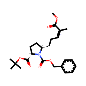 COC(=O)/C(C)=C\CC[C@H]1CC[C@@H](C(=O)OC(C)(C)C)N1C(=O)OCc1ccccc1